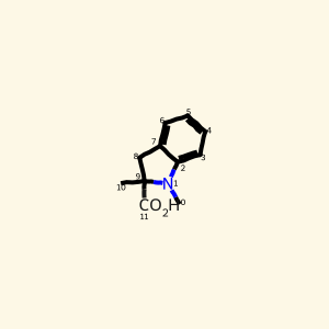 CN1c2ccccc2CC1(C)C(=O)O